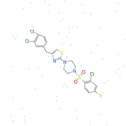 O=S(=O)(c1ccc(F)cc1Cl)N1CCN(c2nc(Cc3ccc(Cl)c(Cl)c3)cs2)CC1